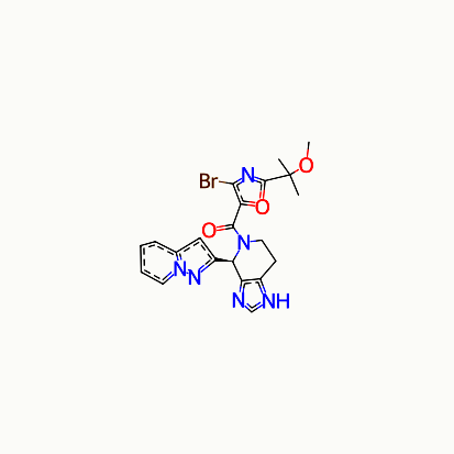 COC(C)(C)c1nc(Br)c(C(=O)N2CCc3[nH]cnc3[C@H]2c2cc3ccccn3n2)o1